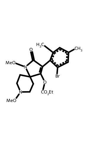 CCOC(=O)OC1=C(c2c(C)cc(C)cc2Br)C(=O)N(OC)C12CCN(OC)CC2